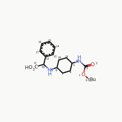 CC(C)(C)OC(=O)NC1CCC(NC(C(=O)O)c2ccccc2)CC1